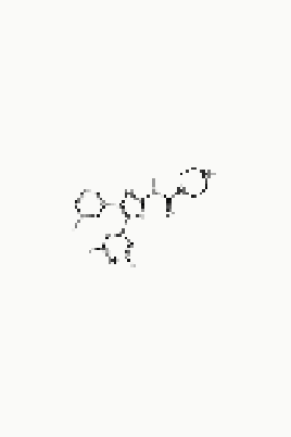 Cc1cccc(-c2nc(NC(=O)N3CCNCC3)sc2-c2cc(C)nc(C)c2)c1